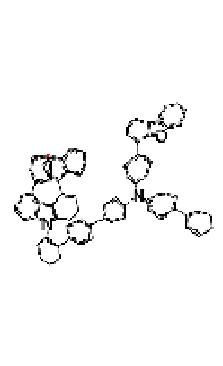 C1=CC(c2ccc(N(c3ccc(-c4ccc(C5=C(n6c7c(c8c(-c9ccccc9)cccc86)C(c6cccc8ccccc68)=CCC7)C=CCC5)cc4)cc3)c3ccc(-c4cccc5c4oc4ccccc45)cc3)cc2)=CCC1